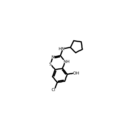 Oc1cc(Cl)cc2c1NC(NC1CCCC1)=NS2